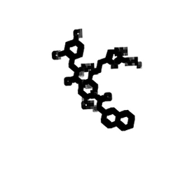 C[C@@H]1CN(C(=O)[C@H](N)Cc2ccc(Cl)cc2Cl)[C@@H](CCCc2c[nH]c(N)n2)CN1C(=O)Cc1ccc2ccccc2c1